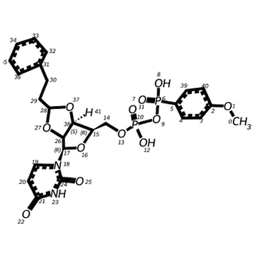 COc1ccc(P(=O)(O)OP(=O)(O)OC[C@H]2O[C@@H](n3ccc(=O)[nH]c3=O)C3OC(CCc4ccccc4)O[C@H]32)cc1